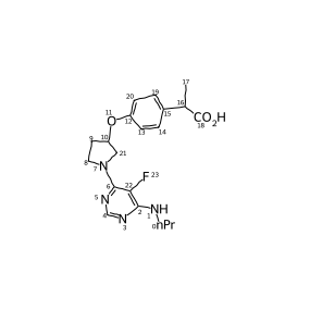 CCCNc1ncnc(N2CCC(Oc3ccc(C(C)C(=O)O)cc3)C2)c1F